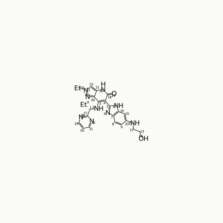 CC[C@H](Nc1c(-c2nc3ccc(NCCO)cc3[nH]2)c(=O)[nH]c2cn(CC)nc12)c1ncccn1